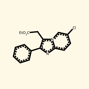 CCOC(=O)Cc1c(-c2ccccc2)nc2ccc(Cl)cn12